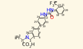 CC(C)C(C(=O)O)N1Cc2ccc(-c3ccc(NC(=O)Nc4ccccc4C(F)(F)F)cc3)cc2C1